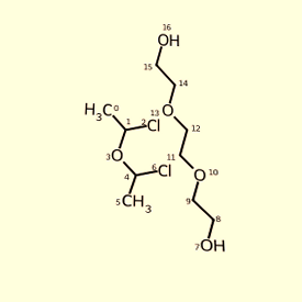 CC(Cl)OC(C)Cl.OCCOCCOCCO